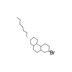 CCCCCCC[C@@H]1CCC2C(CCC3C[C@H](Br)CCC32)C1